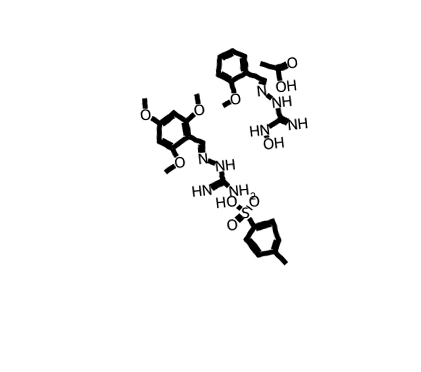 CC(=O)O.COc1cc(OC)c(C=NNC(=N)N)c(OC)c1.COc1ccccc1C=NNC(=N)NO.Cc1ccc(S(=O)(=O)O)cc1